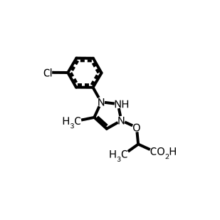 CC1=CN(OC(C)C(=O)O)NN1c1cccc(Cl)c1